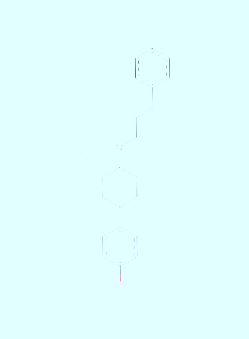 Cl.Oc1ccc([C@H]2CC[C@@H](NCCCc3ccccc3)CC2)cc1